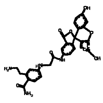 NCCc1cc(NCC(=O)Nc2ccc3c(c2)C(=O)OC32c3ccc(O)cc3Oc3cc(O)ccc32)ccc1C(N)=O